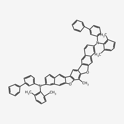 Cc1cccc(C)c1N(c1cccc(-c2ccccc2)c1)c1ccc2cc3c(cc2c1)oc1c(C)c2oc4cc5cc(N(c6cccc(-c7ccccc7)c6)c6c(C)cccc6C)ccc5cc4c2cc13